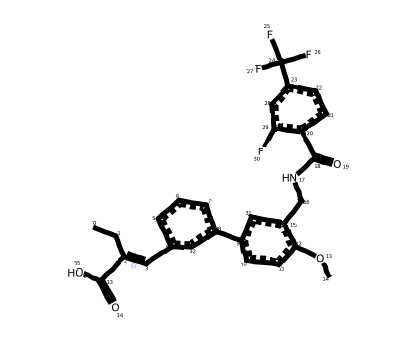 CC/C(=C\c1cccc(-c2ccc(OC)c(CNC(=O)c3ccc(C(F)(F)F)cc3F)c2)c1)C(=O)O